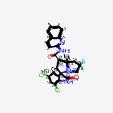 O=C(Nc1ccc2ccccc2n1)[C@H]1[C@H]2CC(F)(F)CN2[C@]2(C(=O)Nc3c(Cl)cc(Cl)cc32)[C@H]1C(=O)O